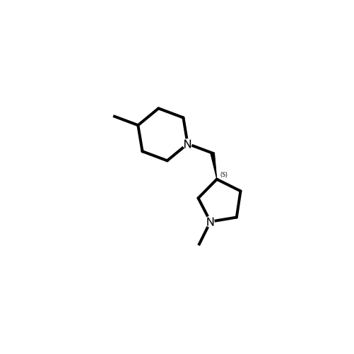 CC1CCN(C[C@H]2CCN(C)C2)CC1